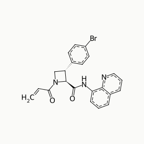 C=CC(=O)N1C[C@H](c2ccc(Br)cc2)[C@H]1C(=O)Nc1cccc2cccnc12